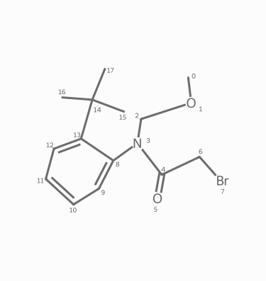 COCN(C(=O)CBr)c1ccccc1C(C)(C)C